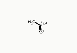 C[C]=O.[Lu]